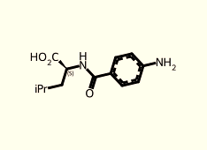 CC(C)C[C@H](NC(=O)c1ccc(N)cc1)C(=O)O